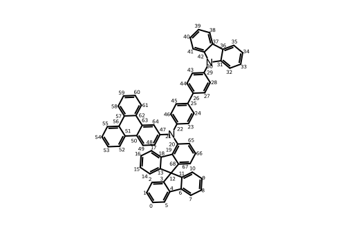 c1ccc2c(c1)-c1ccccc1C21c2ccccc2-c2c(N(c3ccc(-c4ccc(-n5c6ccccc6c6ccccc65)cc4)cc3)c3ccc4c5ccccc5c5ccccc5c4c3)cccc21